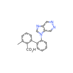 Cc1cccc(-c2ccccc2-n2cnc3cnncc32)c1C(=O)O